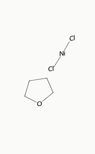 C1CCOC1.[Cl][Ni][Cl]